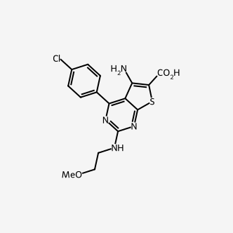 COCCNc1nc(-c2ccc(Cl)cc2)c2c(N)c(C(=O)O)sc2n1